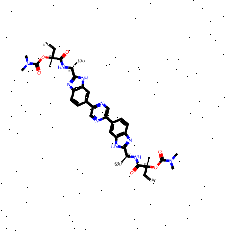 CC(C)C[C@@](C)(OC(=O)N(C)C)C(=O)N[C@H](c1nc2ccc(-c3cnc(-c4ccc5nc([C@@H](NC(=O)[C@@](C)(CC(C)C)OC(=O)N(C)C)C(C)(C)C)[nH]c5c4)cn3)cc2[nH]1)C(C)(C)C